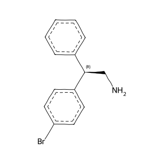 NC[C@H](c1ccccc1)c1ccc(Br)cc1